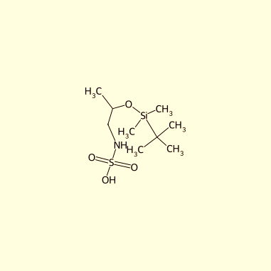 CC(CNS(=O)(=O)O)O[Si](C)(C)C(C)(C)C